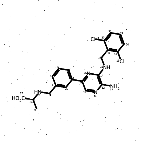 C[C@H](NCc1cccc(-c2cnc(N)c(NCc3c(Cl)cccc3Cl)n2)c1)C(=O)O